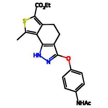 CCOC(=O)c1sc(C)c2c1CCc1c(Oc3ccc(NC(C)=O)cc3)n[nH]c1-2